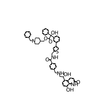 O=C(NCc1cc(-c2cccc(C(O)(C(=O)OCC3CCN(Cc4ccccc4)CC3)c3ccccc3)c2)cs1)c1ccc(CNCC(O)c2ccc(O)c3[nH]c(=O)ccc23)cc1